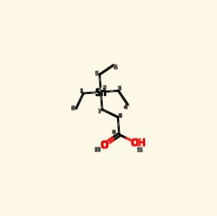 C[CH2][Sn]([CH2]C)([CH2]C)[CH2]CC(=O)O